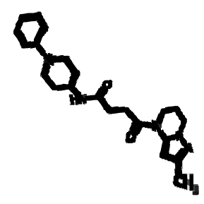 Cc1cc2n(n1)CCCN2C(=O)CCC(=O)NC1CCN(c2ccccc2)CC1